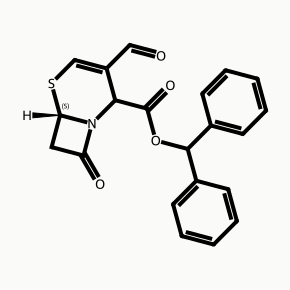 O=CC1=CS[C@H]2CC(=O)N2C1C(=O)OC(c1ccccc1)c1ccccc1